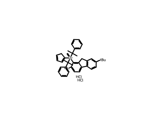 Cl.Cl.[CH2]=[Zr]([C]1=CC=CC1)([c]1c(C(C)(C)C)ccc2c1Cc1cc(C(C)(C)C)ccc1-2)([C](C)(C)c1ccccc1)[C](C)(C)c1ccccc1